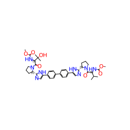 COC(=O)N[C@H](C(=O)N1CCC[C@H]1c1ncc(-c2ccc(-c3ccc(-c4cnc([C@@H]5CCCN5C(=O)[C@@H](NC(=O)OC)C(C)(C)O)[nH]4)cc3)cc2)[nH]1)C(C)C